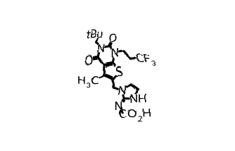 Cc1c(CN2CCN/C2=N\C(=O)O)sc2c1c(=O)n(CC(C)(C)C)c(=O)n2CCC(F)(F)F